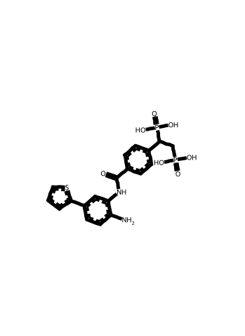 Nc1ccc(-c2cccs2)cc1NC(=O)c1ccc(C(CP(=O)(O)O)P(=O)(O)O)cc1